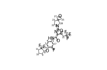 O=C(Nc1ccc(OC2CCCC2(F)F)c(F)c1)c1nc(N2CCC3(COC3)C2)oc1CC(F)(F)F